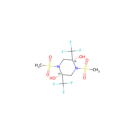 CS(=O)(=O)N1C[C@@](O)(C(F)(F)F)N(S(C)(=O)=O)C[C@@]1(O)C(F)(F)F